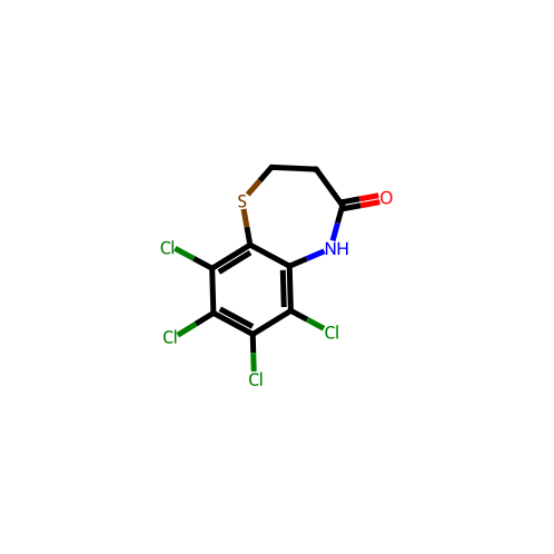 O=C1CCSc2c(Cl)c(Cl)c(Cl)c(Cl)c2N1